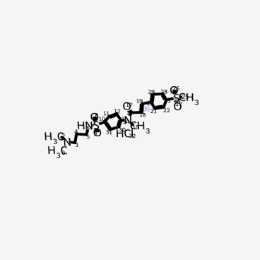 CN(C)CCCNS(=O)(=O)c1ccc(N(C)C(=O)/C=C/c2ccc(S(C)(=O)=O)cc2)cc1.Cl